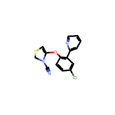 N#CN1CSC=C1Oc1ccc(Cl)cc1-c1ccccn1